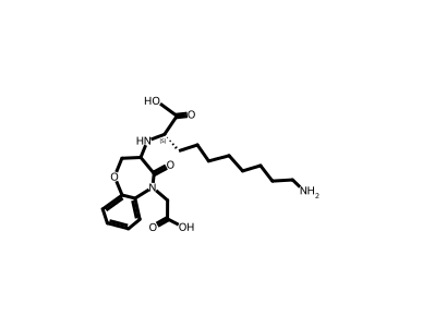 NCCCCCCCC[C@H](NC1COc2ccccc2N(CC(=O)O)C1=O)C(=O)O